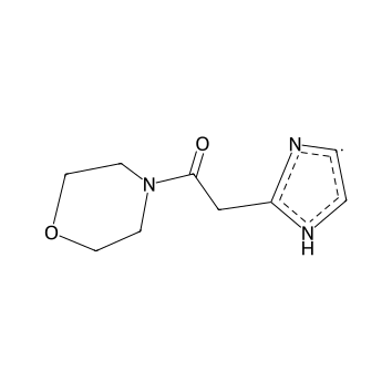 O=C(Cc1n[c]c[nH]1)N1CCOCC1